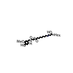 CCCCCCC(O)C/C=C/CCCCCCCC(=O)OCC(=O)NCc1ccc(O)c(OC)c1